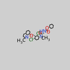 Cc1ccc2cccc(OCc3c(Cl)ccc(N(C)C(=O)CNC(=O)Oc4ccccc4)c3Cl)c2n1